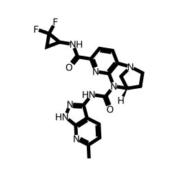 Cc1ccc2c(NC(=O)N3c4nc(C(=O)NC5CC5(F)F)ccc4N4CC[C@H]3C4)n[nH]c2n1